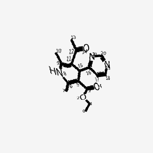 CCOC(=O)C1=C(C)NC(C)=C(C(C)=O)C1c1ccncn1